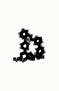 C=C/C=C(\c1cc(-c2n[nH]c3ccc(-c4cncc(CCc5ccccc5)c4)cc23)[nH]c1C)N1CCN(C)CC1